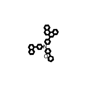 C1=CCC2C(=C1)Oc1cc(N(c3ccc(-c4cccc5ccccc45)cc3)c3ccc(-c4cc5ccccc5c5c4ccc4ccccc45)cc3)ccc12